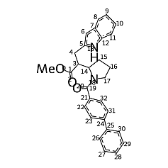 COC(=O)C(Cc1cc2ccccc2[nH]1)C1CCCN1C(=O)c1ccc(-c2ccccc2)cc1